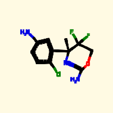 C[C@]1(c2cc(N)ccc2Cl)N=C(N)OCC1(F)F